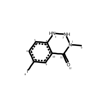 CN1NNc2ccc(I)cc2C1=O